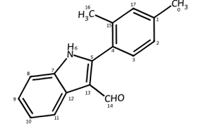 Cc1ccc(-c2[nH]c3ccccc3c2C=O)c(C)c1